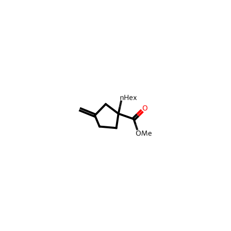 C=C1CCC(CCCCCC)(C(=O)OC)C1